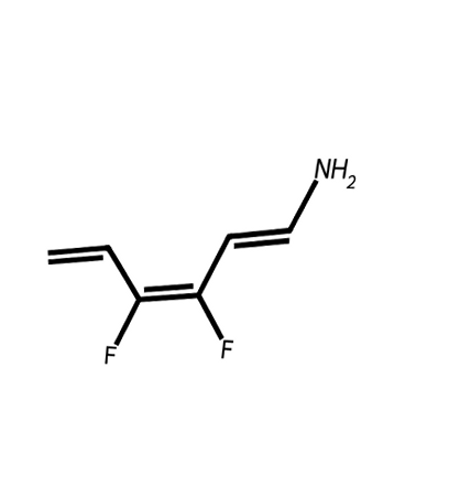 C=C/C(F)=C(F)\C=C\N